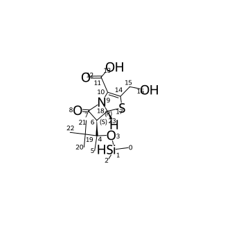 C[SiH](C)OC(C)([C@H]1C(=O)N2C(C(=O)O)=C(CO)S[C@H]12)C(C)(C)C